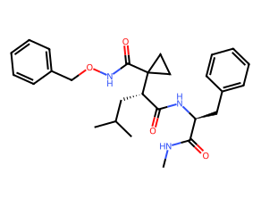 CNC(=O)[C@H](Cc1ccccc1)NC(=O)[C@H](CC(C)C)C1(C(=O)NOCc2ccccc2)CC1